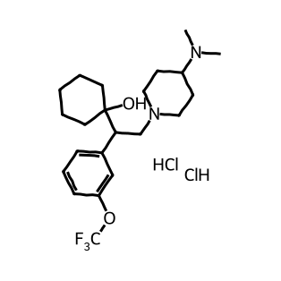 CN(C)C1CCN(CC(c2cccc(OC(F)(F)F)c2)C2(O)CCCCC2)CC1.Cl.Cl